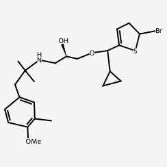 COc1ccc(CC(C)(C)NC[C@@H](O)COC(C2=CCC(Br)S2)C2CC2)cc1C